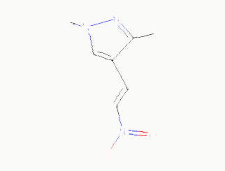 Cc1nn(C)cc1C=C[N+](=O)[O-]